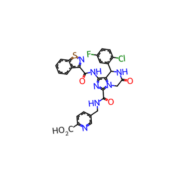 O=C1Cn2c(C(=O)NCc3ccc(C(=O)O)nc3)nc(NC(=O)c3nsc4ccccc34)c2C(c2cc(F)ccc2Cl)N1